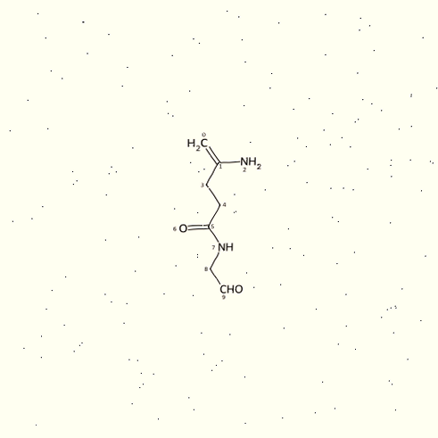 C=C(N)CCC(=O)NCC=O